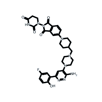 Nc1nnc(-c2cc(F)ccc2O)cc1N1CCN(CC2CCN(c3ccc4c(c3)C(=O)N(N3CCC(=O)NC3=O)C4=O)CC2)CC1